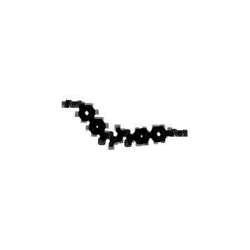 CCCCCC1CCC(c2ccc(C(=O)O[C@H](C)C[C@@H](C)OC(=O)c3ccc(C4CCC(CCCCC)CC4)cc3)cc2)CC1